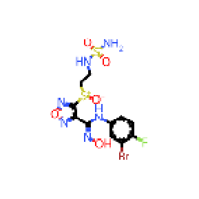 NS(=O)(=O)NCC[S+]([O-])c1nonc1/C(=N/O)Nc1ccc(F)c(Br)c1